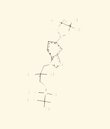 CC(C)(CO[Si](C)(C)C(C)(C)C)Cn1cnc2cc(B3OC(C)(C)C(C)(C)O3)ccc21